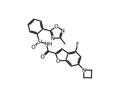 Cc1noc(-c2ccccc2[S+]([O-])NC(=O)c2cc3c(F)cc(N4CCC4)cc3o2)n1